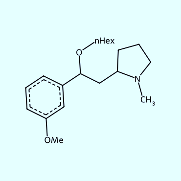 CCCCCCOC(CC1CCCN1C)c1cccc(OC)c1